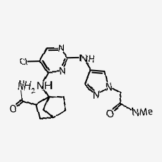 CNC(=O)Cn1cc(Nc2ncc(Cl)c(NC34CCC(CC3C(N)=O)C4)n2)cn1